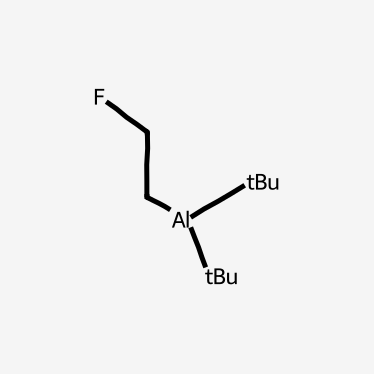 C[C](C)(C)[Al]([CH2]CF)[C](C)(C)C